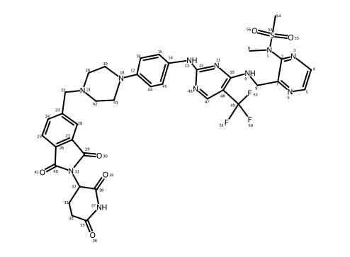 CN(c1nccnc1CNc1nc(Nc2ccc(N3CCN(Cc4ccc5c(c4)C(=O)N(C4CCC(=O)NC4=O)C5=O)CC3)cc2)ncc1C(F)(F)F)S(C)(=O)=O